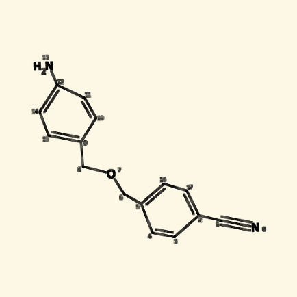 N#Cc1ccc(COCc2ccc(N)cc2)cc1